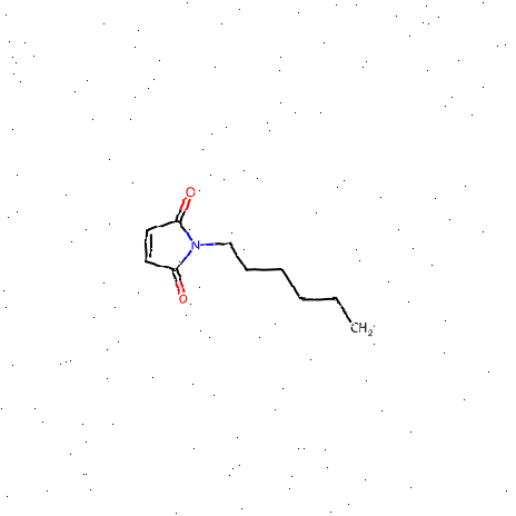 [CH2]CCCCCN1C(=O)C=CC1=O